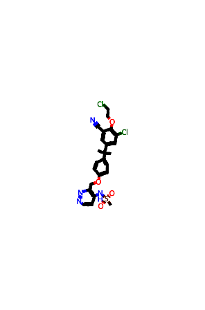 CC(C)(c1ccc(OCc2nnccc2NS(C)(=O)=O)cc1)c1cc(Cl)c(OCCCl)c(C#N)c1